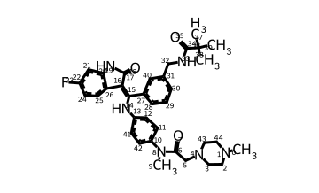 CN1CCN(CC(=O)N(C)c2ccc(NC(=C3C(=O)Nc4cc(F)ccc43)c3cccc(CNC(=O)C(C)(C)C)c3)cc2)CC1